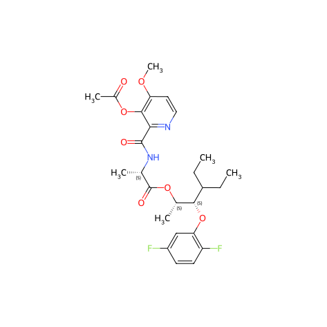 CCC(CC)[C@H](Oc1cc(F)ccc1F)[C@H](C)OC(=O)[C@H](C)NC(=O)c1nccc(OC)c1OC(C)=O